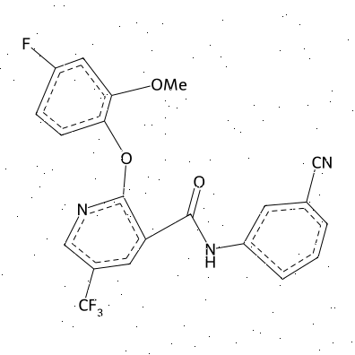 COc1cc(F)ccc1Oc1ncc(C(F)(F)F)cc1C(=O)Nc1cccc(C#N)c1